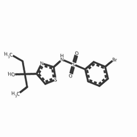 CCC(O)(CC)c1csc(NS(=O)(=O)c2cccc(Br)c2)n1